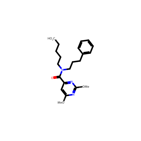 COc1cc(C(=O)N(CCCCC(=O)O)CCCc2ccccc2)nc(OC)n1